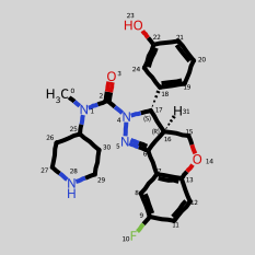 CN(C(=O)N1N=C2c3cc(F)ccc3OC[C@@H]2[C@H]1c1cccc(O)c1)C1CCNCC1